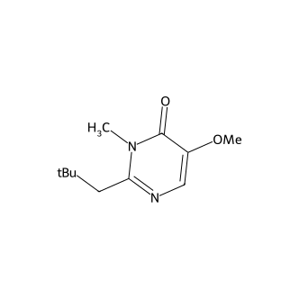 COc1cnc(CC(C)(C)C)n(C)c1=O